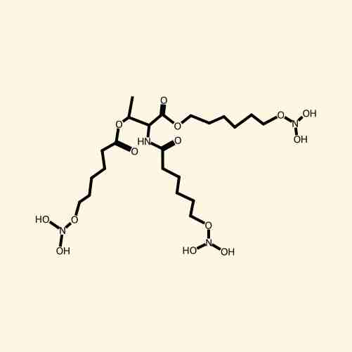 CC(OC(=O)CCCCCON(O)O)C(NC(=O)CCCCCON(O)O)C(=O)OCCCCCCON(O)O